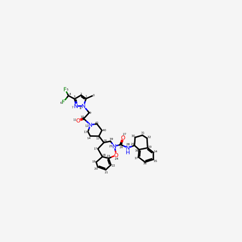 Cc1cc(C(F)F)nn1CC(=O)N1CCC(C2CC3CC=CC=C3ON(C(=O)NC3CCCc4ccccc43)C2)CC1